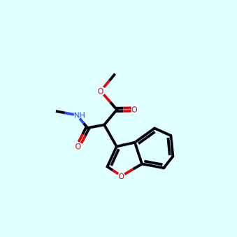 CNC(=O)C(C(=O)OC)c1coc2ccccc12